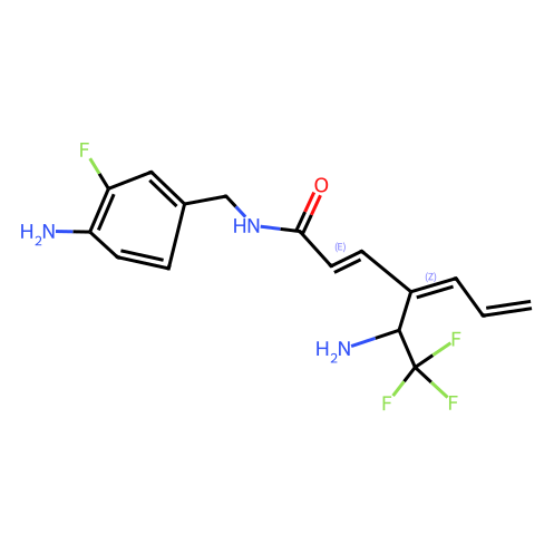 C=C/C=C(/C=C/C(=O)NCc1ccc(N)c(F)c1)C(N)C(F)(F)F